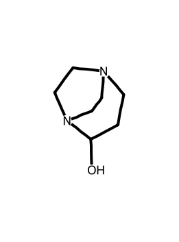 OC1CCN2CCN1CC2